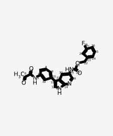 CC(=O)C(=O)Nc1cccc(-c2c[nH]c3ncc(NC(=O)OCc4cccc(F)c4)cc23)c1